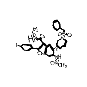 CNC(=O)c1c(-c2ccc(F)cc2)oc2cc(N[S@+](C)[O-])c([C@H]3CCCN(S(=O)(=O)Cc4ccccc4)C3)cc12